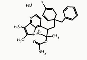 Cc1[nH]c2c(C(CC3(Cc4ccccc4)C=CC(F)=CC3)C(C)(C)OC(N)=O)ccnc2c1C.Cl